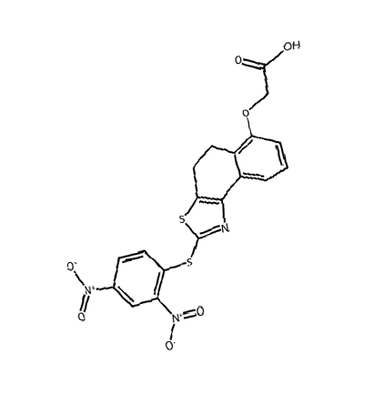 O=C(O)COc1cccc2c1CCc1sc(Sc3ccc([N+](=O)[O-])cc3[N+](=O)[O-])nc1-2